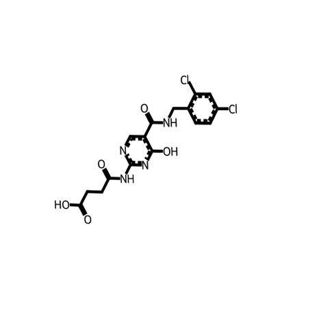 O=C(O)CCC(=O)Nc1ncc(C(=O)NCc2ccc(Cl)cc2Cl)c(O)n1